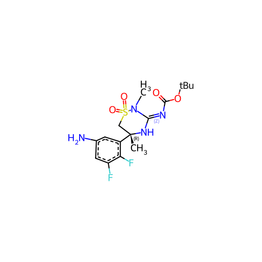 CN1/C(=N\C(=O)OC(C)(C)C)N[C@](C)(c2cc(N)cc(F)c2F)CS1(=O)=O